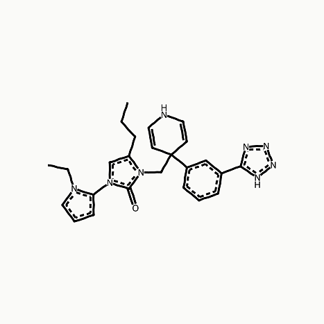 CCCc1cn(-c2cccn2CC)c(=O)n1CC1(c2cccc(-c3nnn[nH]3)c2)C=CNC=C1